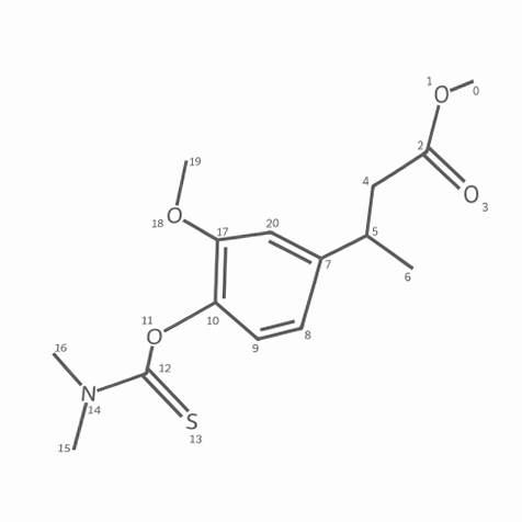 COC(=O)CC(C)c1ccc(OC(=S)N(C)C)c(OC)c1